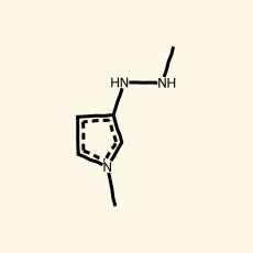 CNNc1ccn(C)c1